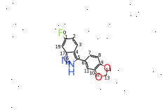 Fc1ccc2c(-c3ccc4c(c3)OCO4)[nH]nc2c1